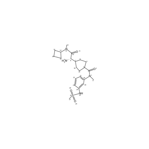 CN(C(=O)C1CCC([C@H](N)C(=O)N(C)C2CCC2)CC1)c1cccc(NS(C)(=O)=O)c1